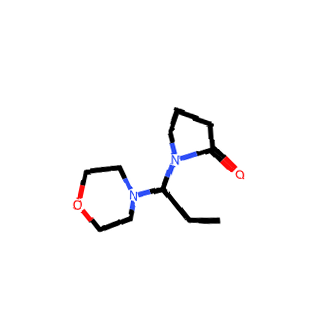 CCC(N1CCOCC1)N1CCCC1=O